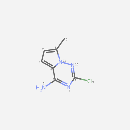 Cc1ccc2c(N)nc(Cl)nn12